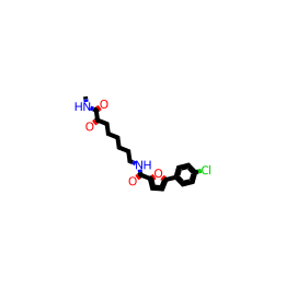 CNC(=O)C(=O)CCCCCCNC(=O)c1ccc(-c2ccc(Cl)cc2)o1